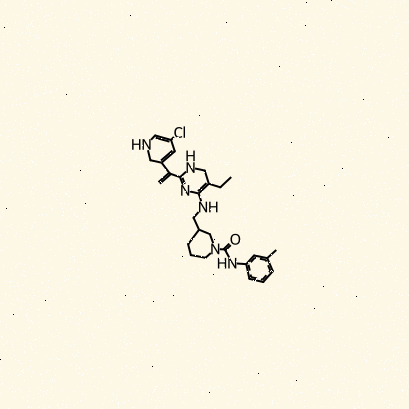 C=C(C1=CC(Cl)=CNC1)C1=NC(NCC2CCCN(C(=O)Nc3cccc(C)c3)C2)=C(CC)CN1